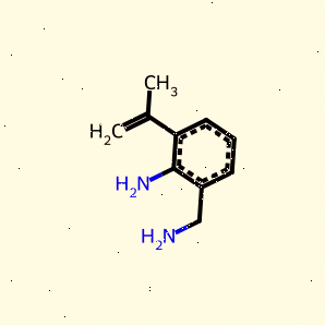 C=C(C)c1cccc(CN)c1N